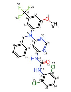 COc1cc(N(Cc2ccccc2)c2cc(NC(=O)Nc3c(Cl)cccc3Cl)ncn2)cc(C(F)(F)F)c1